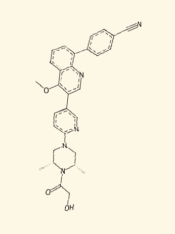 COc1c(-c2ccc(N3C[C@@H](C)N(C(=O)CO)[C@@H](C)C3)nc2)cnc2c(-c3ccc(C#N)cc3)cccc12